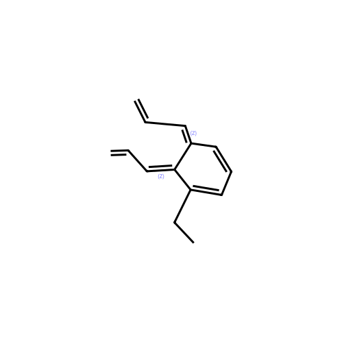 C=C/C=c1/cccc(CC)/c1=C/C=C